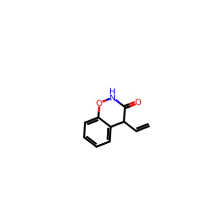 C=CC1C(=O)NOc2ccccc21